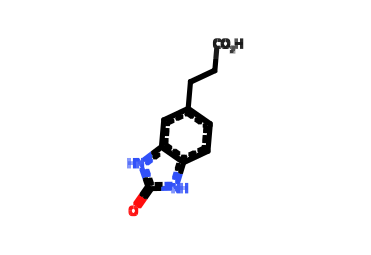 O=C(O)CCc1ccc2[nH]c(=O)[nH]c2c1